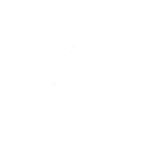 C(OCC1CO1)C1CO1.C=CCCCCCCCCCC